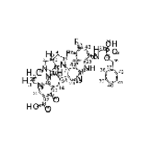 CN1C[C@H]2CCN(c3c(-c4cnc5c(c4)c(=O)c(C(=O)O)cn5C)cnc4[nH]c5c(NCP(=O)(O)OCc6ccccc6)cc(F)c(F)c5c34)[C@H]2C1